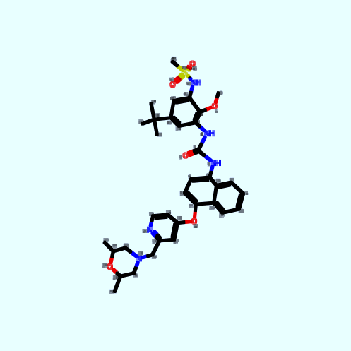 COc1c(NC(=O)Nc2ccc(Oc3ccnc(CN4CC(C)OC(C)C4)c3)c3ccccc23)cc(C(C)(C)C)cc1NS(C)(=O)=O